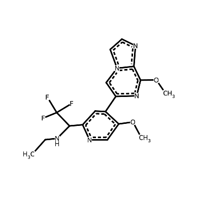 CCNC(c1cc(-c2cn3ccnc3c(OC)n2)c(OC)cn1)C(F)(F)F